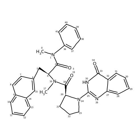 CN(C(=O)[C@H](Cc1ccc2ccccc2c1)N(C)C(=O)[C@@H]1CCCN1c1nc2ccccc2c(=O)[nH]1)c1ccccc1